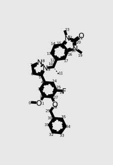 COc1cc(-c2ccnn2[C@@H](C)c2ccc3c(c2)n(C)c(=O)n3C)cc(F)c1OCc1ccccc1